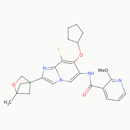 COc1ncccc1C(=O)Nc1cn2cc(C34COC(C)(C3)C4)nc2c(F)c1OC1CCCC1